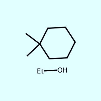 CC1(C)CCCCC1.CCO